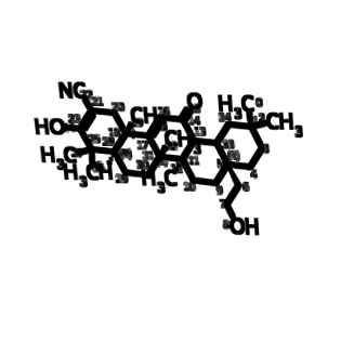 CC1(C)CC[C@]2(CCO)CC[C@]3(C)C(C(=O)C=C4[C@@]5(C)CC(C#N)=C(O)C(C)(C)[C@@H]5CC[C@]43C)C2C1